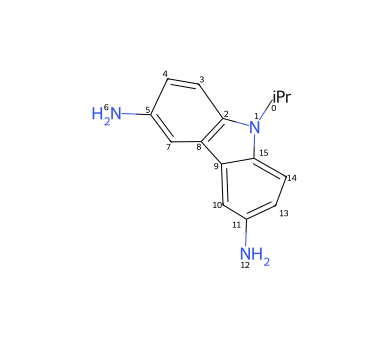 CC(C)n1c2ccc(N)cc2c2cc(N)ccc21